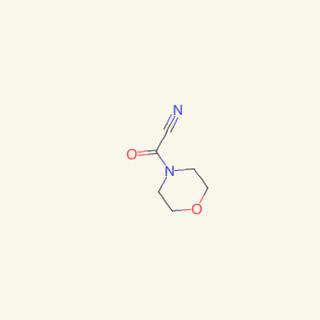 N#CC(=O)N1CCOCC1